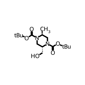 C[C@H]1CN(C(=O)OC(C)(C)C)[C@H](CO)CN1C(=O)OC(C)(C)C